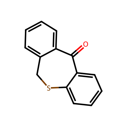 O=C1c2ccccc2CSc2ccccc21